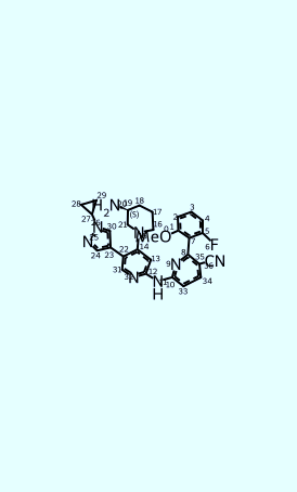 COc1cccc(F)c1-c1nc(Nc2cc(N3CCC[C@H](N)C3)c(-c3cnn(C4CC4)c3)cn2)ccc1C#N